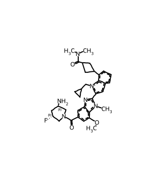 COc1cc(C(=O)N2C[C@H](N)C[C@@H](F)C2)cc2nc(-c3cc4cccc(C5CC(C(=O)N(C)C)C5)c4n3CC3CC3)n(C)c12